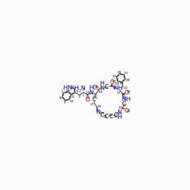 N[C@@H](Cc1c[nH]c2ccccc12)C(=O)N[C@H]1CC/C=N/CCCCNC(=O)CNC(=O)[C@@H](Cc2ccccc2)NC(=O)CNC1=O